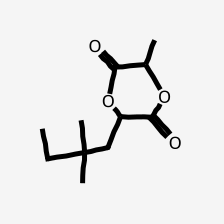 CCC(C)(C)CC1OC(=O)C(C)OC1=O